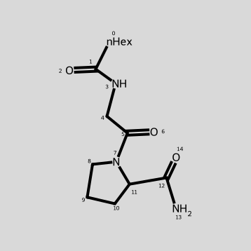 CCCCCCC(=O)NCC(=O)N1CCCC1C(N)=O